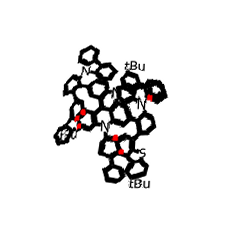 CC(C)(C)c1cc(-c2ccccc2)cc(N2c3ccc(-c4c(-c5ccc6sc7ccccc7c6c5)cccc4-n4c5ccccc5c5ccccc54)cc3C3c4ccc(C(C)(C)C)cc4N(c4ccc(-c5ccccc5)cc4)c4cc(-c5c(-c6cccc7c6sc6ccc(C(C)(C)C)cc67)cccc5-n5c6ccccc6c6ccccc65)cc2c43)c1